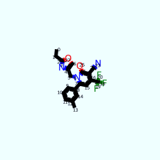 CCc1nc(Cn2c(-c3cccc(C)c3)cc(C(F)(F)F)c(C#N)c2=O)co1